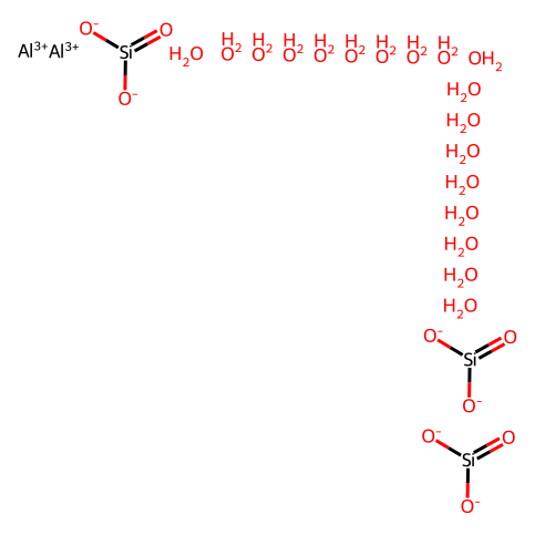 O.O.O.O.O.O.O.O.O.O.O.O.O.O.O.O.O.O.O=[Si]([O-])[O-].O=[Si]([O-])[O-].O=[Si]([O-])[O-].[Al+3].[Al+3]